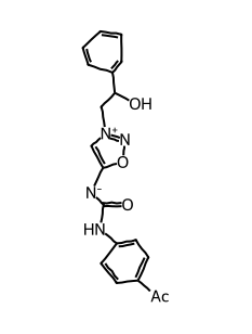 CC(=O)c1ccc(NC(=O)[N-]c2c[n+](CC(O)c3ccccc3)no2)cc1